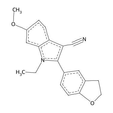 CCn1c(-c2ccc3c(c2)CCO3)c(C#N)c2ccc(OC)cc21